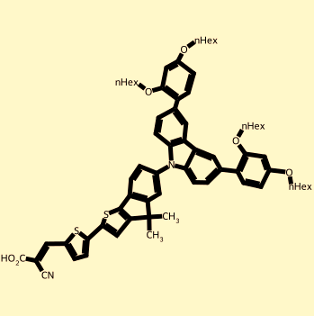 CCCCCCOc1ccc(-c2ccc3c(c2)c2cc(-c4ccc(OCCCCCC)cc4OCCCCCC)ccc2n3-c2ccc3c(c2)C(C)(C)c2cc(-c4ccc(/C=C(\C#N)C(=O)O)s4)sc2-3)c(OCCCCCC)c1